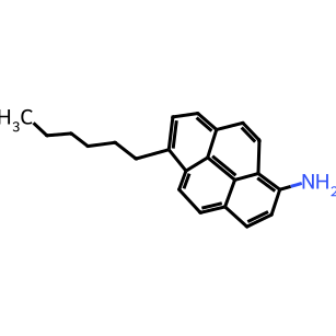 CCCCCCc1ccc2ccc3c(N)ccc4ccc1c2c43